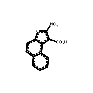 O=C(O)c1c([N+](=O)[O-])oc2ccc3ccccc3c12